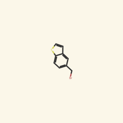 BrCc1ccc2sccc2c1